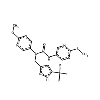 COc1ncc(N(Cc2cc(C(F)(F)F)[nH]n2)C(=O)Nc2cnc(SC)nc2)cn1